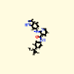 N#CC1(c2ccc(NC(=O)c3cccnc3Nc3ccc4cn[nH]c4c3)cc2)CC1